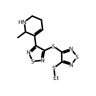 CCSc1nsnc1Sc1nsnc1C1=CCCNC1C